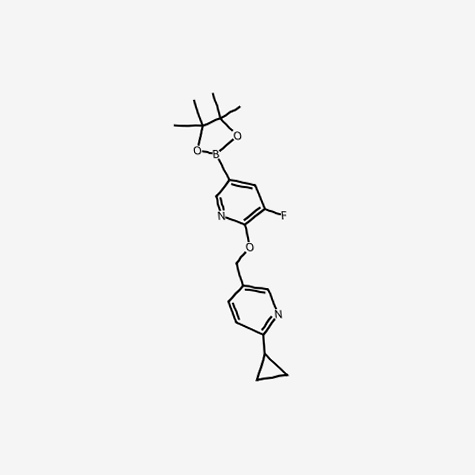 CC1(C)OB(c2cnc(OCc3ccc(C4CC4)nc3)c(F)c2)OC1(C)C